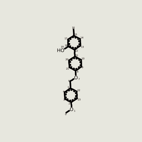 COc1ccc(COc2ccc(-c3ccc(C)cc3O)cc2)cc1